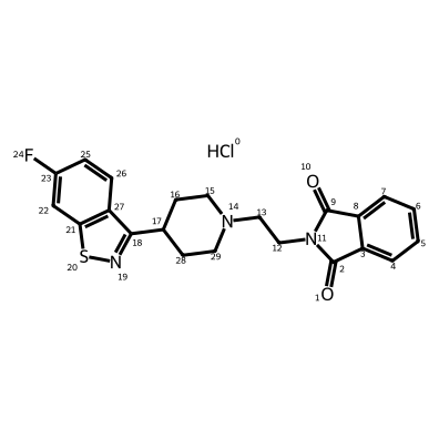 Cl.O=C1c2ccccc2C(=O)N1CCN1CCC(c2nsc3cc(F)ccc23)CC1